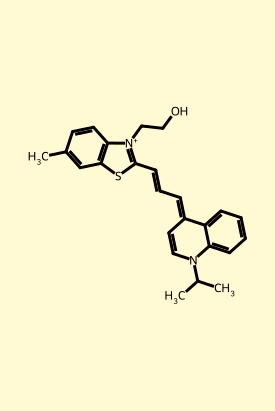 Cc1ccc2c(c1)sc(/C=C/C=C1\C=CN(C(C)C)c3ccccc31)[n+]2CCO